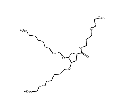 CCCCCCCCCCCCCCCCCCOC1CN(C(=O)OCCCOCCOC)CC1OCCCCCCCCCCCCCCCCCC